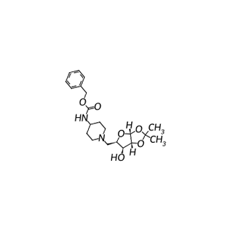 CC1(C)O[C@H]2O[C@H](CN3CCC(NC(=O)OCc4ccccc4)CC3)[C@H](O)[C@H]2O1